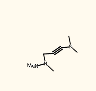 CNN(C)CC#CN(C)C